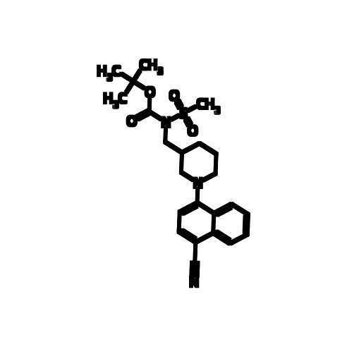 CC(C)(C)OC(=O)N(CC1CCCN(c2ccc(C#N)c3ccccc23)C1)S(C)(=O)=O